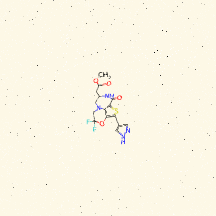 COC(=O)CC1CN2CC(F)(F)Oc3c(-c4cn[nH]c4)sc(c32)C(=O)N1